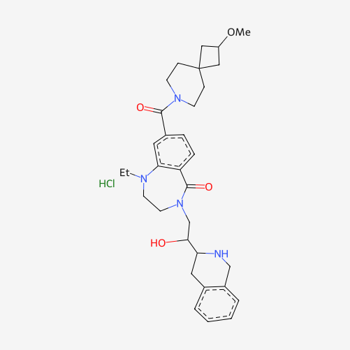 CCN1CCN(CC(O)C2Cc3ccccc3CN2)C(=O)c2ccc(C(=O)N3CCC4(CC3)CC(OC)C4)cc21.Cl